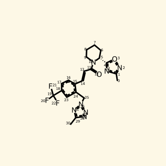 Cc1noc([C@H]2CCCCN2C(=O)C=Cc2ccc(C(F)(F)F)cc2Cn2nnc(C)n2)n1